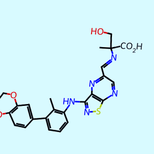 Cc1c(Nc2nsc3ncc(C=NC(C)(CO)C(=O)O)nc23)cccc1-c1ccc2c(c1)OCCO2